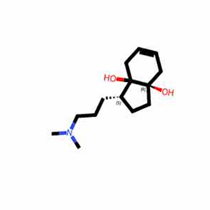 CN(C)CCC[C@H]1CC[C@@]2(O)CC=CCC12O